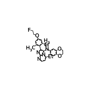 CCc1ccnc2nc(-c3c(C)cc(OCCF)cc3C)c(Nc3ccc4c(c3)OCCO4)n12